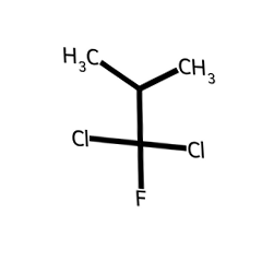 CC(C)C(F)(Cl)Cl